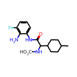 CC1CCC(C(NC(=O)O)C(=O)Nc2cccc(F)c2N)CC1